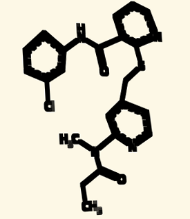 CCC(=O)N(C)c1cc(CSc2ncccc2C(=O)Nc2cccc(Cl)c2)ccn1